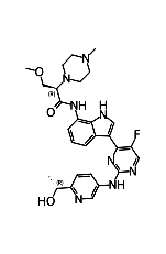 COC[C@H](C(=O)Nc1cccc2c(-c3nc(Nc4ccc([C@@H](C)O)nc4)ncc3F)c[nH]c12)N1CCN(C)CC1